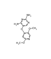 COc1cc(Oc2cnc(N)nc2N)c(OC)cn1